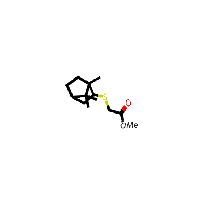 COC(=O)CSC1CC2CCC1(C)C2(C)C